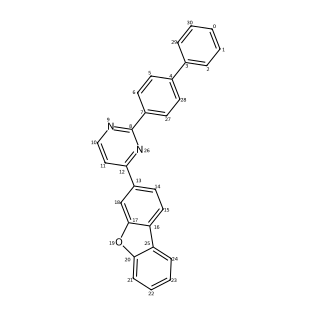 c1ccc(-c2ccc(-c3nccc(-c4ccc5c(c4)oc4ccccc45)n3)cc2)cc1